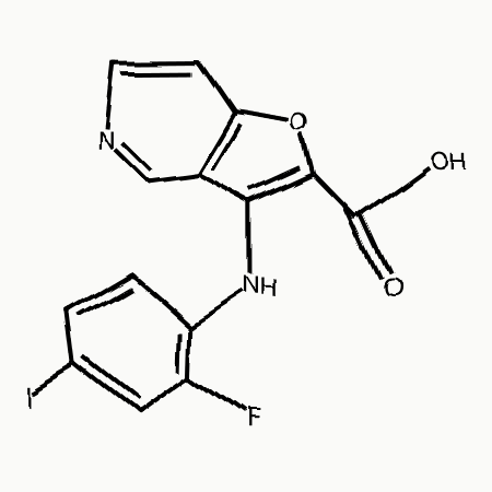 O=C(O)c1oc2ccncc2c1Nc1ccc(I)cc1F